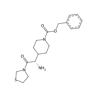 N[C@H](C(=O)N1CCSC1)C1CCN(C(=O)OCc2ccccc2)CC1